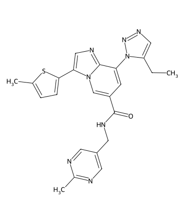 CCc1cnnn1-c1cc(C(=O)NCc2cnc(C)nc2)cn2c(-c3ccc(C)s3)cnc12